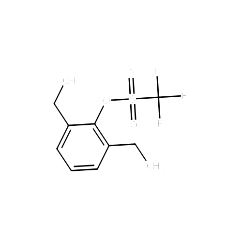 CCc1cccc(CC)c1OS(=O)(=O)C(F)(F)F